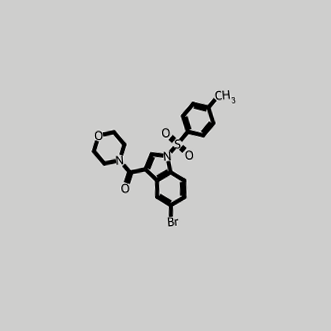 Cc1ccc(S(=O)(=O)n2cc(C(=O)N3CCOCC3)c3cc(Br)ccc32)cc1